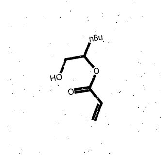 C=CC(=O)OC(CO)CCCC